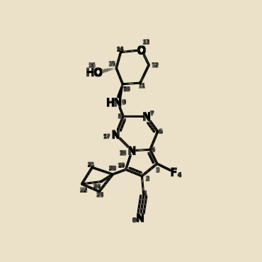 N#Cc1c(F)c2cnc(N[C@@H]3CCOC[C@H]3O)nn2c1C12CC(C1)C2